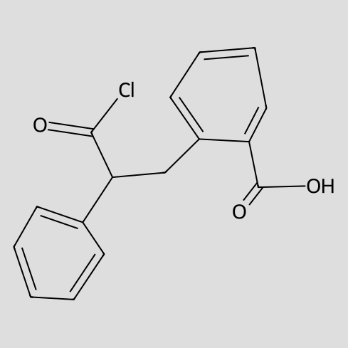 O=C(O)c1ccccc1CC(C(=O)Cl)c1ccccc1